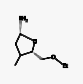 B[C@H]1CC(C)[C@@H](COCC)O1